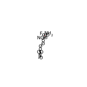 C=CC(=O)N1CC(S(=O)(=O)c2ccc(OCCOc3ccc([C@@](C#N)(c4cccc(F)c4)[C@H]4CCC[C@@H]4OC(N)=O)cc3)cc2)C1